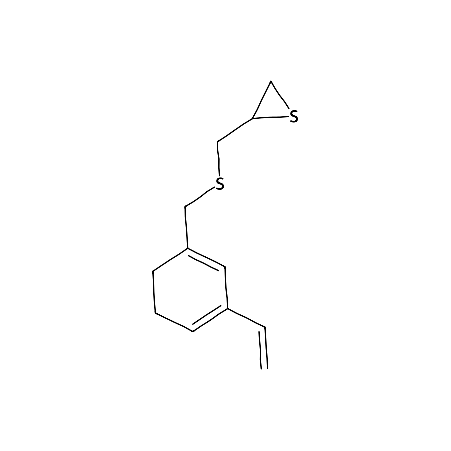 C=CC1=CCCC(CSCC2CS2)=C1